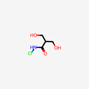 O=C(NCl)C(CO)CO